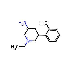 CCN1CC(N)CC(c2ccccc2C)C1